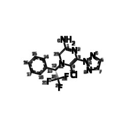 NC1=NC(n2nccn2)=C(Cl)N([C@@H](c2ccccc2)C(F)(F)F)C1